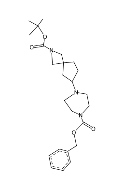 CC(C)(C)OC(=O)N1CC2(CCC(N3CCN(C(=O)OCc4ccccc4)CC3)C2)C1